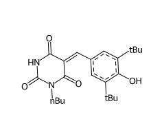 CCCCN1C(=O)NC(=O)C(=Cc2cc(C(C)(C)C)c(O)c(C(C)(C)C)c2)C1=O